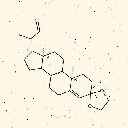 CC(C=O)[C@H]1CCC2C3CCC4=CC5(CC[C@]4(C)C3CC[C@@]21C)OCCO5